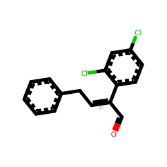 O=C/C(=C/Cc1ccccc1)c1ccc(Cl)cc1Cl